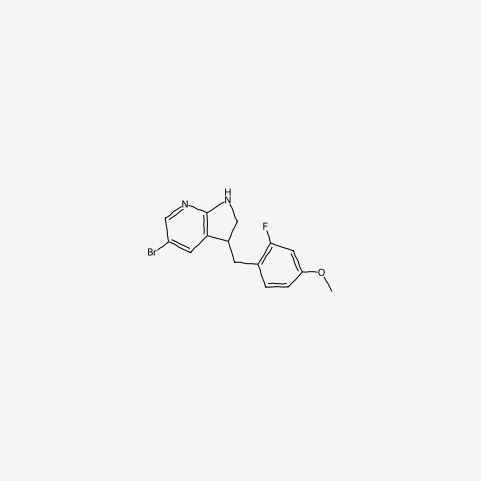 COc1ccc(CC2CNc3ncc(Br)cc32)c(F)c1